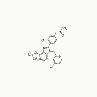 CC1(Oc2ncnc3c2nc(-c2ccc(CC(N)=O)cc2Cl)n3Cc2cc(Cl)ccn2)CC1